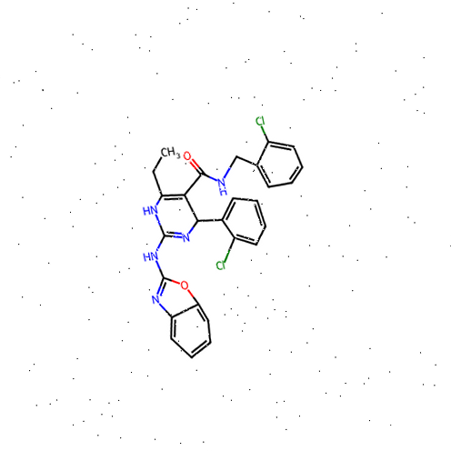 CCC1=C(C(=O)NCc2ccccc2Cl)C(c2ccccc2Cl)N=C(Nc2nc3ccccc3o2)N1